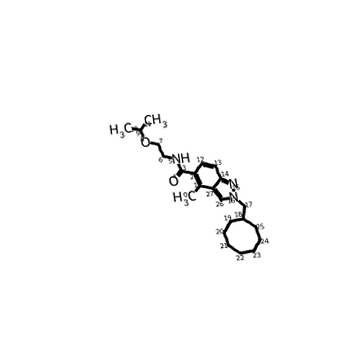 Cc1c(C(=O)NCCOC(C)C)ccc2nn(CC3CCCCCCC3)cc12